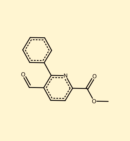 COC(=O)c1ccc(C=O)c(-c2ccccc2)n1